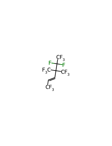 FC(F)(F)C=CC(C(F)(F)F)(C(F)(F)F)C(F)(F)C(F)(F)F